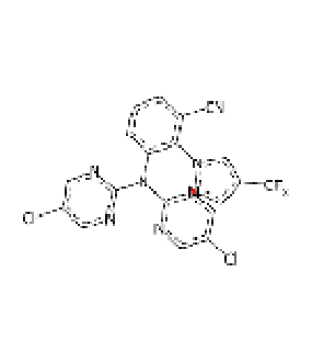 N#Cc1cccc(N(c2ncc(Cl)cn2)c2ncc(Cl)cn2)c1-n1cc(C(F)(F)F)cn1